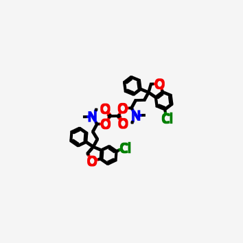 CN(C)C(CCC1(c2ccccc2)COc2ccc(Cl)cc21)OC(=O)C(=O)OC(CCC1(c2ccccc2)COc2ccc(Cl)cc21)N(C)C